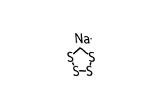 C1SSSS1.[Na]